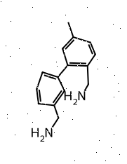 Cc1ccc(CN)c(-c2cccc(CN)c2)c1